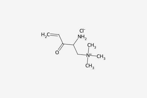 C=CC(=O)C(N)C[N+](C)(C)C.[Cl-]